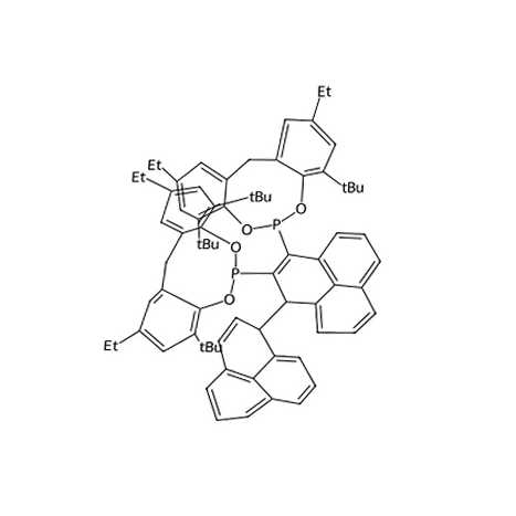 CCc1cc2c(c(C(C)(C)C)c1)OP(C1=C(P3Oc4c(cc(CC)cc4C(C)(C)C)Cc4cc(CC)cc(C(C)(C)C)c4O3)C(C3C=Cc4cccc5cccc3c45)c3cccc4cccc1c34)Oc1c(cc(CC)cc1C(C)(C)C)C2